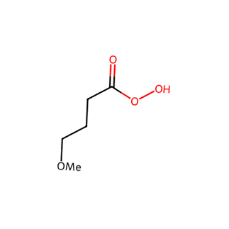 COCCCC(=O)OO